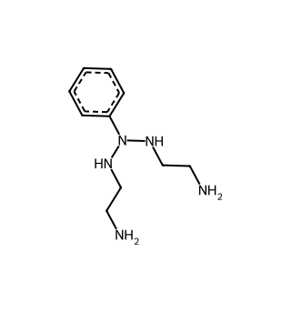 NCCNN(NCCN)c1ccccc1